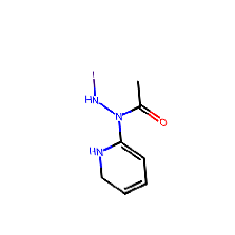 CC(=O)N(NI)C1=CC=CCN1